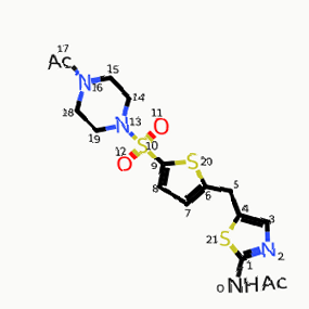 CC(=O)Nc1ncc(Cc2ccc(S(=O)(=O)N3CCN(C(C)=O)CC3)s2)s1